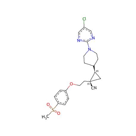 CS(=O)(=O)c1ccc(OCC[C@@]2(C#N)C[C@@H]2C2CCN(c3ncc(Cl)cn3)CC2)cc1